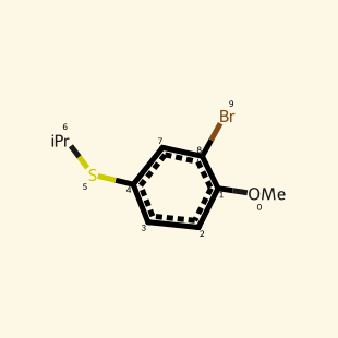 COc1ccc(SC(C)C)cc1Br